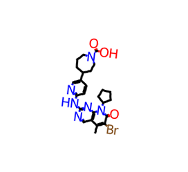 Cc1c(Br)c(=O)n(C2CCCC2)c2nc(Nc3ccc(C4CCCN(C(=O)O)CC4)cn3)ncc12